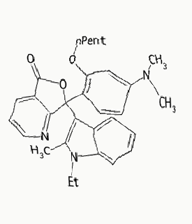 CCCCCOc1cc(N(C)C)ccc1C1(c2c(C)n(CC)c3ccccc23)OC(=O)c2cccnc21